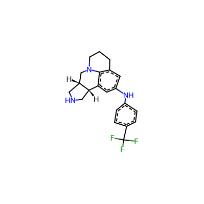 FC(F)(F)c1ccc(Nc2cc3c4c(c2)[C@@H]2CNC[C@@H]2CN4CCC3)cc1